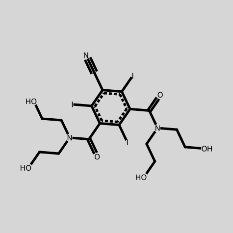 N#Cc1c(I)c(C(=O)N(CCO)CCO)c(I)c(C(=O)N(CCO)CCO)c1I